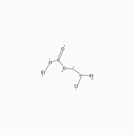 CCOC(=O)OCC(Cl)CC